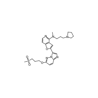 CN(CCCN1CCCC1)c1nccc2oc(-c3cnc4ccc(OCCCS(C)(=O)=O)nn34)cc12